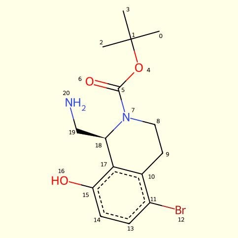 CC(C)(C)OC(=O)N1CCc2c(Br)ccc(O)c2[C@H]1CN